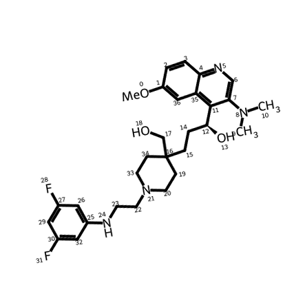 COc1ccc2ncc(N(C)C)c([C@@H](O)CCC3(CO)CCN(CCNc4cc(F)cc(F)c4)CC3)c2c1